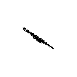 CCCCCCCCCCCCCCSCCC(=O)Oc1c(C)cc(Sc2cc(C)c(OC(=O)CCSCCCCCCCCCCCCCC)c(C)c2)cc1C